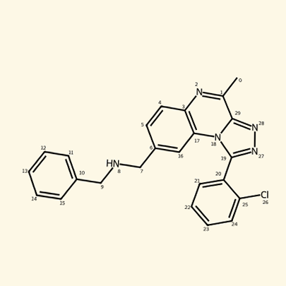 Cc1nc2ccc(CNCc3ccccc3)cc2n2c(-c3ccccc3Cl)nnc12